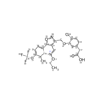 CCO/N=C/c1c(COc2cc(CC(=O)O)ccc2Cl)noc1C1=CC=C(OC(F)(F)F)C(C)C1